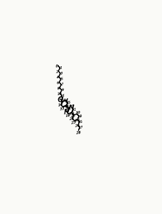 CCCCCCCCCCCCOc1ccc(-c2ncc(C3CCC(CCCC)CC3)cn2)cc1